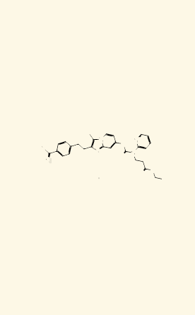 CCOC(=O)CCN(C(=O)Oc1ccn2c(C)c(CCc3ccc(C(=N)N)cc3)nc2c1)c1ccccn1.Cl